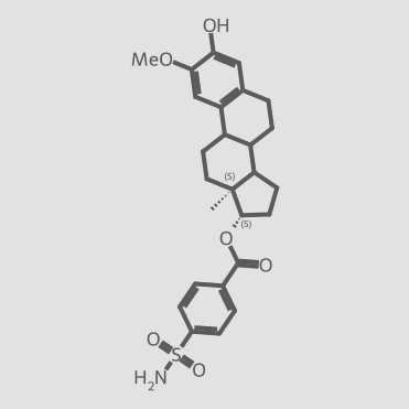 COc1cc2c(cc1O)CCC1C2CC[C@@]2(C)C1CC[C@@H]2OC(=O)c1ccc(S(N)(=O)=O)cc1